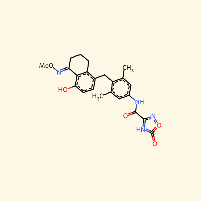 CO/N=C1\CCCc2c(Cc3c(C)cc(NC(=O)c4noc(=O)[nH]4)cc3C)ccc(O)c21